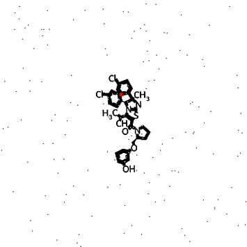 CC(C)C1=C(C(=O)N2CCC[C@H]2COc2cccc(O)c2)SC2=N[C@@](C)(c3ccc(Cl)cc3)[C@@H](c3ccc(Cl)cc3)N21